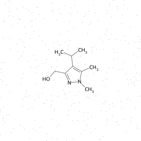 Cc1c(C(C)C)c(CO)nn1C